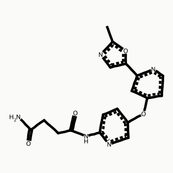 Cc1ncc(-c2cc(Oc3ccc(NC(=O)CCC(N)=O)nc3)ccn2)o1